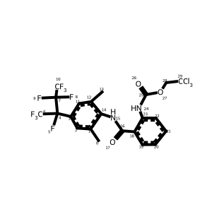 Cc1cc(C(F)(C(F)(F)F)C(F)(F)C(F)(F)F)cc(C)c1NC(=O)c1ccccc1NC(=O)OCC(Cl)(Cl)Cl